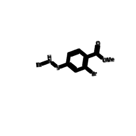 CCNSc1ccc(C(=O)OC)c(Br)c1